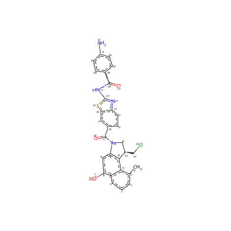 Cc1cccc2c(O)cc3c(c12)[C@H](CCl)CN3C(=O)c1ccc2nc(NC(=O)c3ccc(N)cc3)sc2c1